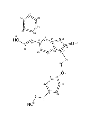 N#CCCc1ccc(OCCn2c(=O)sc3cc(C(=NO)c4ccccc4)ccc32)cc1